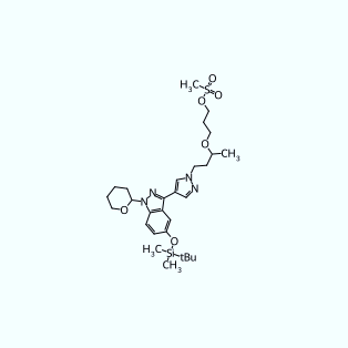 CC(CCn1cc(-c2nn(C3CCCCO3)c3ccc(O[Si](C)(C)C(C)(C)C)cc23)cn1)OCCCOS(C)(=O)=O